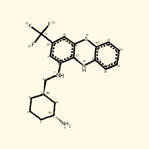 N[C@@H]1CCC[C@@H](CNc2cc(C(F)(F)F)cc3c2Nc2ccccc2S3)C1